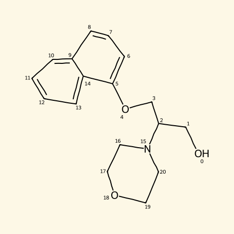 OCC(COc1cccc2ccccc12)N1CCOCC1